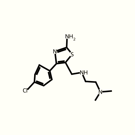 CN(C)CCNCc1sc(N)nc1-c1ccc(Cl)cc1